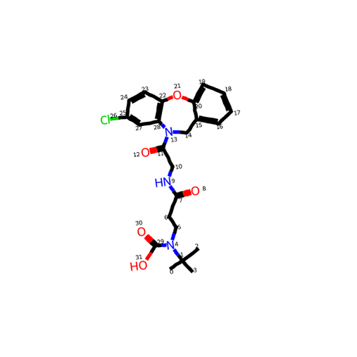 CC(C)(C)N(CCC(=O)NCC(=O)N1Cc2ccccc2Oc2ccc(Cl)cc21)C(=O)O